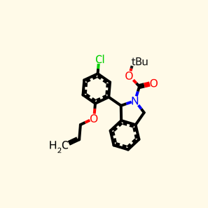 C=CCOc1ccc(Cl)cc1C1c2ccccc2CN1C(=O)OC(C)(C)C